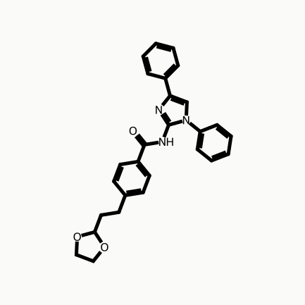 O=C(Nc1nc(-c2ccccc2)cn1-c1ccccc1)c1ccc(CCC2OCCO2)cc1